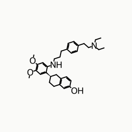 CCN(CC)CCc1ccc(CCCNc2cc(OC)c(OC)cc2[C@@H]2CCc3cc(O)ccc3C2)cc1